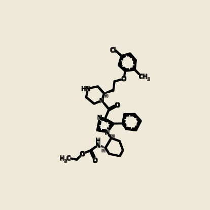 CCOC(=O)N[C@H]1CCCC[C@@H]1n1cnc(C(=O)N2CCNC[C@H]2CCOc2cc(Cl)ccc2C)c1-c1ccccc1